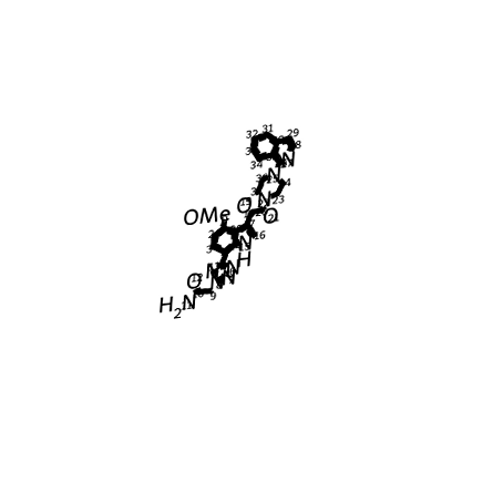 COc1ccc(-c2nnn(CC(N)=O)n2)c2[nH]cc(C(=O)C(=O)N3CCN(c4nccc5ccccc45)CC3)c12